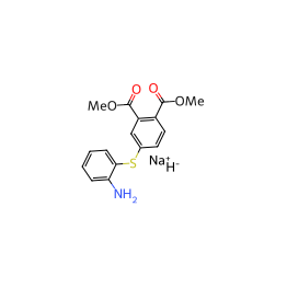 COC(=O)c1ccc(Sc2ccccc2N)cc1C(=O)OC.[H-].[Na+]